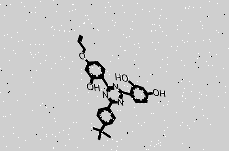 C=CCOc1ccc(-c2nc(-c3ccc(C(C)(C)C)cc3)nc(-c3ccc(O)cc3O)n2)c(O)c1